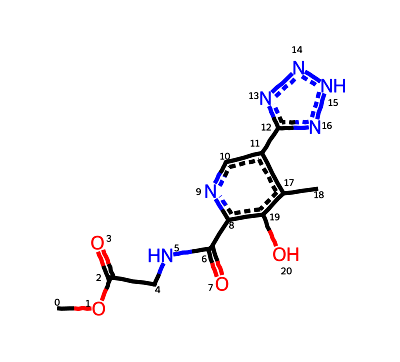 COC(=O)CNC(=O)c1ncc(-c2nn[nH]n2)c(C)c1O